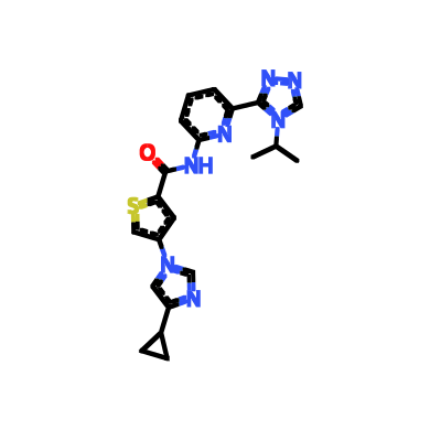 CC(C)n1cnnc1-c1cccc(NC(=O)c2cc(-n3cnc(C4CC4)c3)cs2)n1